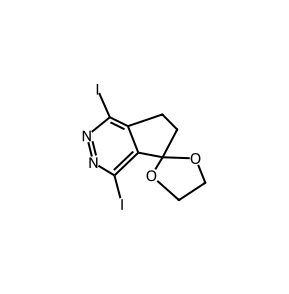 Ic1nnc(I)c2c1CCC21OCCO1